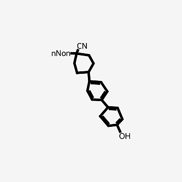 CCCCCCCCCC1(C#N)CCC(c2ccc(-c3ccc(O)cc3)cc2)CC1